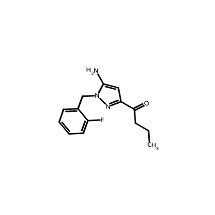 CCCC(=O)c1cc(N)n(Cc2ccccc2F)n1